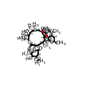 CC[C@H]1OC(=O)[C@H](C)[C@@H](O[C@H]2C[C@@](C)(OC)[C@@H](O)[C@H](C)O2)[C@H](C)[C@@H](O[C@@H]2O[C@H](C)C[C@H](N(C)C)[C@H]2OC(=O)CO)[C@](C)(O)C[C@@H](C)CN(C)[C@H](C)[C@@H](O)[C@]1(C)O